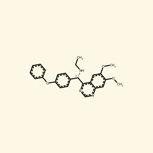 CCN[C@@H](c1ccc(Oc2ccccc2)cc1)c1ncnc2cc(OC)c(OC)cc12